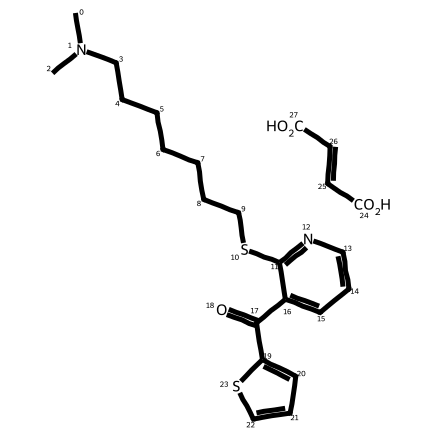 CN(C)CCCCCCCSc1ncccc1C(=O)c1cccs1.O=C(O)C=CC(=O)O